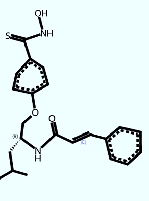 CC(C)C[C@H](COc1ccc(C(=S)NO)cc1)NC(=O)/C=C/c1ccccc1